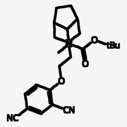 CN(C(=O)OC(C)(C)C)C1C2CCC1CN(CCOc1ccc(C#N)cc1C#N)C2